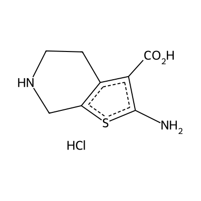 Cl.Nc1sc2c(c1C(=O)O)CCNC2